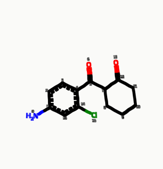 Nc1ccc(C(=O)C2CCCCC2=O)c(Cl)c1